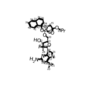 CC(C)OC(=O)[C@@H](C)NP(=S)(OC[C@H]1O[C@@H](n2cnc3c(N(C)C)nc(N)nc32)[C@](C)(F)[C@@H]1O)Oc1cccc2ccccc12